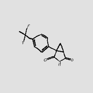 CC(F)(F)c1ccc(C23CC2C(=O)NC3=O)cc1